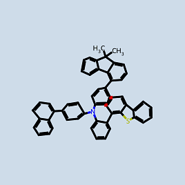 CC1(C)c2ccccc2-c2c(-c3ccc(N(c4ccc(-c5cccc6ccccc56)cc4)c4ccccc4-c4cccc5c4sc4ccccc45)cc3)cccc21